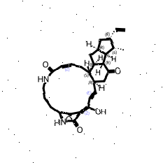 C=C[C@H]1C[C@@H]2C[C@@H]3[C@H]4C/C=C\C(=O)NCCCC5NC(=O)/C(=C(O)/C=C/[C@@H]4CC(=O)[C@H]3[C@@H]2[C@H]1C)C5=O